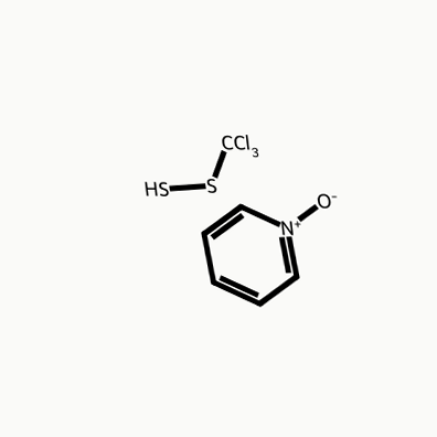 SSC(Cl)(Cl)Cl.[O-][n+]1ccccc1